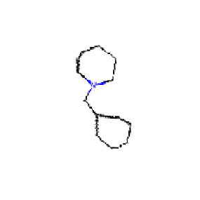 [CH]1CCC(CN2CCCCC2)CC1